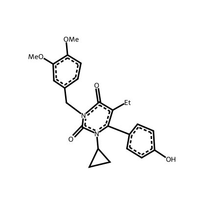 CCc1c(-c2ccc(O)cc2)n(C2CC2)c(=O)n(Cc2ccc(OC)c(OC)c2)c1=O